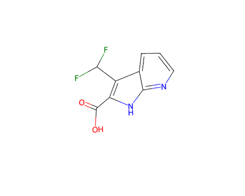 O=C(O)c1[nH]c2ncccc2c1C(F)F